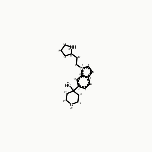 OC1(c2ccc3ccn(CCC4CCCN4)c3c2)CCOCC1